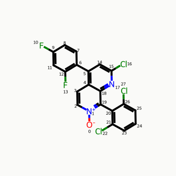 [O-][n+]1ccc2c(-c3ccc(F)cc3F)cc(Cl)nc2c1-c1c(Cl)cccc1Cl